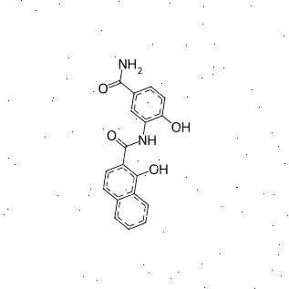 NC(=O)c1ccc(O)c(NC(=O)c2ccc3ccccc3c2O)c1